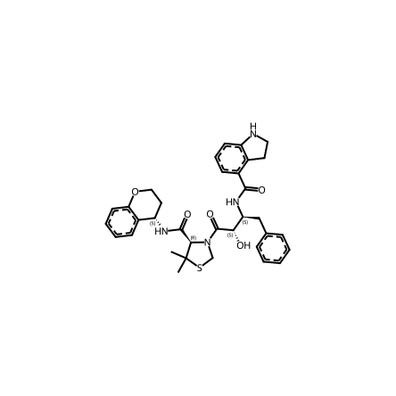 CC1(C)SCN(C(=O)[C@@H](O)[C@H](Cc2ccccc2)NC(=O)c2cccc3c2CCN3)[C@@H]1C(=O)N[C@H]1CCOc2ccccc21